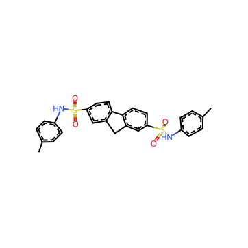 Cc1ccc(NS(=O)(=O)c2ccc3c(c2)Cc2cc(S(=O)(=O)Nc4ccc(C)cc4)ccc2-3)cc1